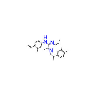 C=Cc1ccc(NC(=N/C=C\C)/C(C)=N/CC(C)c2ccc(C)c(C)c2)cc1C